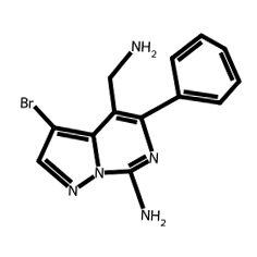 NCc1c(-c2ccccc2)nc(N)n2ncc(Br)c12